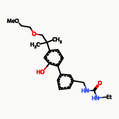 CCNC(=O)NCc1cccc(-c2ccc(C(C)(C)COCCOC)cc2O)c1